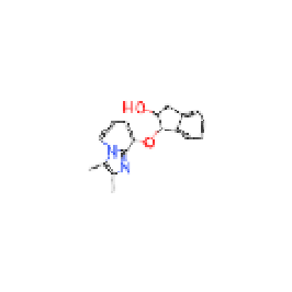 Cc1nc2c(OC3c4ccccc4CC3O)cccn2c1C